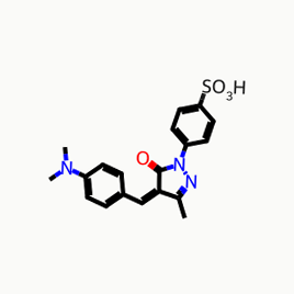 CC1=NN(c2ccc(S(=O)(=O)O)cc2)C(=O)/C1=C\c1ccc(N(C)C)cc1